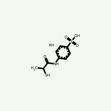 CC(S)C(=O)Nc1ccc(S(=O)(=O)O)cc1.[KH]